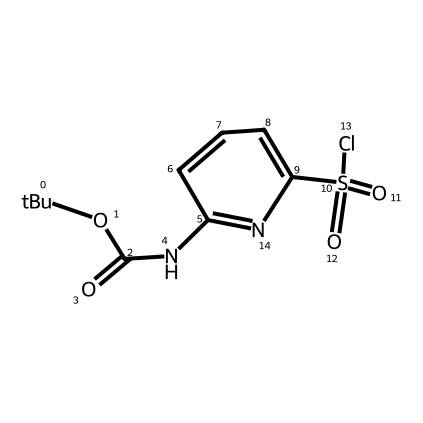 CC(C)(C)OC(=O)Nc1cccc(S(=O)(=O)Cl)n1